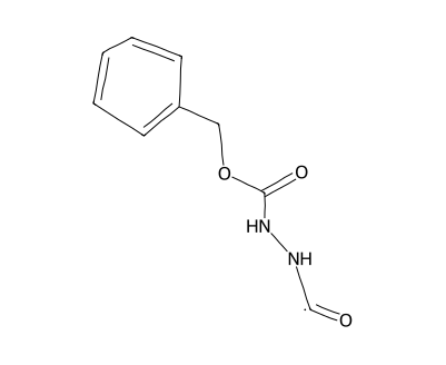 O=[C]NNC(=O)OCc1ccccc1